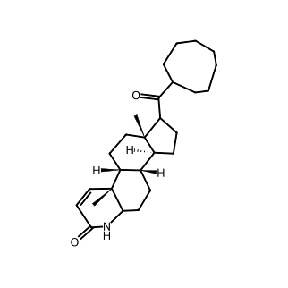 C[C@]12C=CC(=O)NC1CC[C@@H]1[C@H]2CC[C@]2(C)C(C(=O)C3CCCCCCC3)CC[C@@H]12